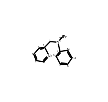 CC(C)N(Cc1ccccn1)c1ccccc1